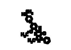 CCOc1cc(N2CCC(NC)CC2)ccc1-c1nc2c(C)nn(-c3ccccc3)c2c(=O)[nH]1